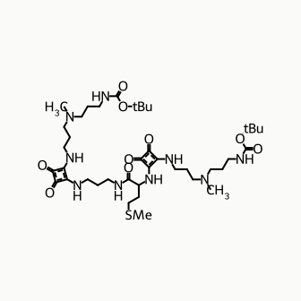 CSCCC(Nc1c(NCCCN(C)CCCNC(=O)OC(C)(C)C)c(=O)c1=O)C(=O)NCCCNc1c(NCCCN(C)CCCNC(=O)OC(C)(C)C)c(=O)c1=O